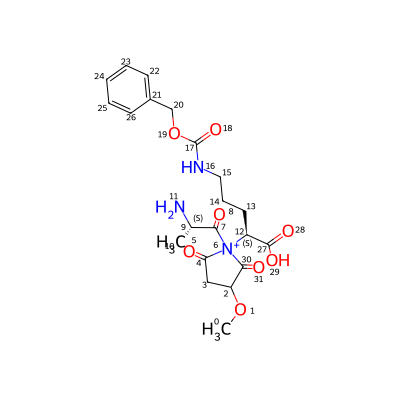 COC1CC(=O)[N+](C(=O)[C@H](C)N)([C@@H](CCCNC(=O)OCc2ccccc2)C(=O)O)C1=O